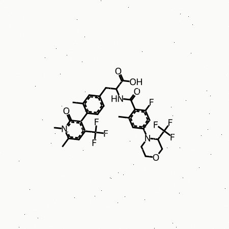 Cc1cc(CC(NC(=O)c2c(C)cc(N3CCOCC3C(F)(F)F)cc2F)C(=O)O)ccc1-c1c(C(F)(F)F)cc(C)n(C)c1=O